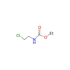 [CH2]COC(=O)NCCCl